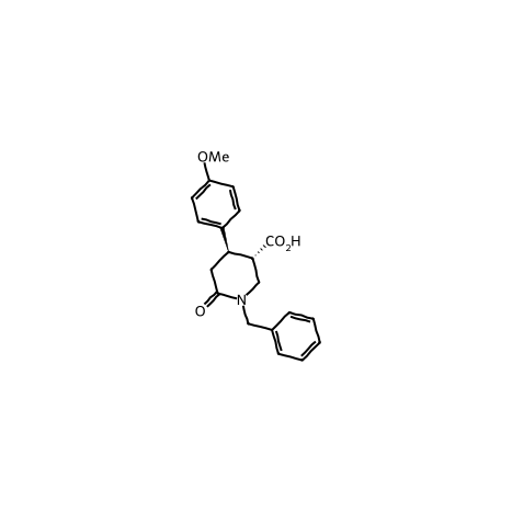 COc1ccc([C@@H]2CC(=O)N(Cc3ccccc3)C[C@H]2C(=O)O)cc1